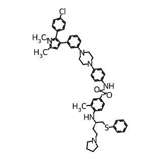 Cc1cc(S(=O)(=O)Nc2ccc(N3CCN(c4cccc(-c5cc(C)n(C)c5-c5ccc(Cl)cc5)c4)CC3)cc2)ccc1N[C@H](CCN1CCCC1)CSc1ccccc1